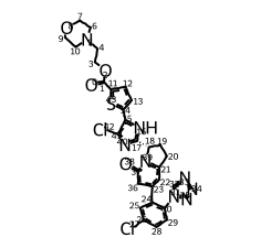 O=C(OCCN1CCOCC1)c1ccc(-c2[nH]c([C@@H]3CCc4cc(-c5cc(Cl)ccc5-n5cnnn5)cc(=O)n43)nc2Cl)s1